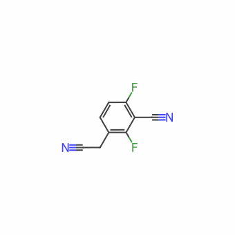 N#CCc1ccc(F)c(C#N)c1F